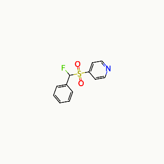 O=S(=O)(c1ccncc1)C(F)c1ccccc1